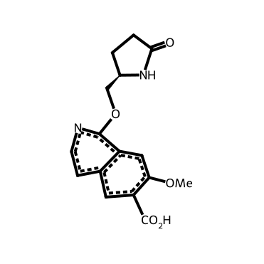 COc1cc2c(OC[C@H]3CCC(=O)N3)nccc2cc1C(=O)O